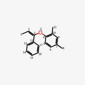 CC=C(Oc1ccc(C)cc1C)c1ccccc1